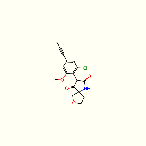 CC#Cc1cc(Cl)c(C2C(=O)NC3(CCOC3)C2=O)c(OC)c1